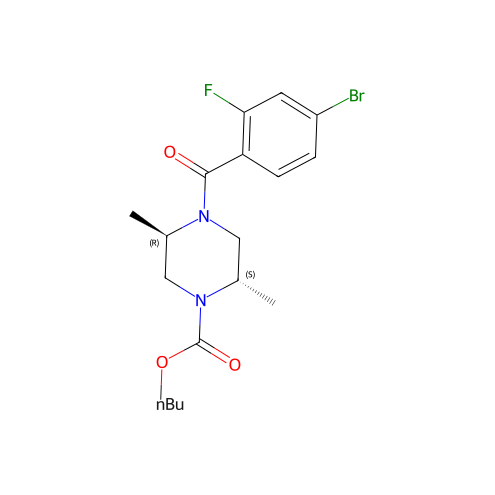 CCCCOC(=O)N1C[C@@H](C)N(C(=O)c2ccc(Br)cc2F)C[C@@H]1C